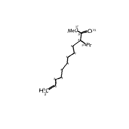 C=CCCCCCCCC(C(=O)OC)C(C)C